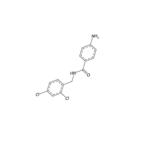 Nc1ccc(C(=O)NCc2ccc(Cl)cc2Cl)cc1